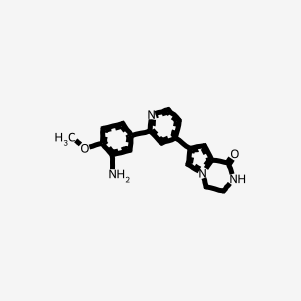 COc1ccc(-c2cc(-c3cc4n(c3)CCNC4=O)ccn2)cc1N